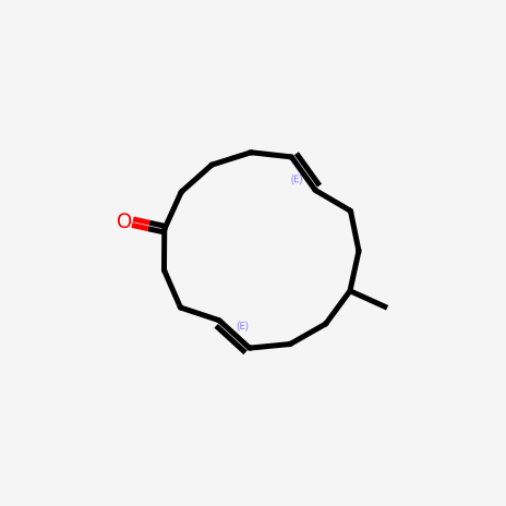 CC1CC/C=C/CCCC(=O)CC/C=C/CC1